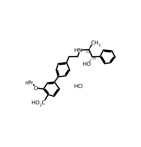 CCCOc1cc(-c2ccc(CCN[C@@H](C)[C@@H](O)c3ccccc3)cc2)ccc1C(=O)O.Cl